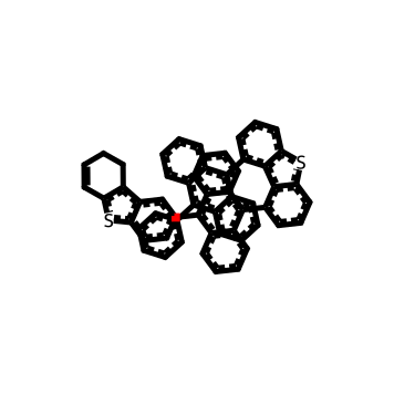 C1=Cc2sc3ccc(-c4c5ccccc5c(-c5cccc6sc7cccc(-c8c9ccccc9c(-c9ccccc9)c9ccccc89)c7c56)c5ccccc45)cc3c2CC1